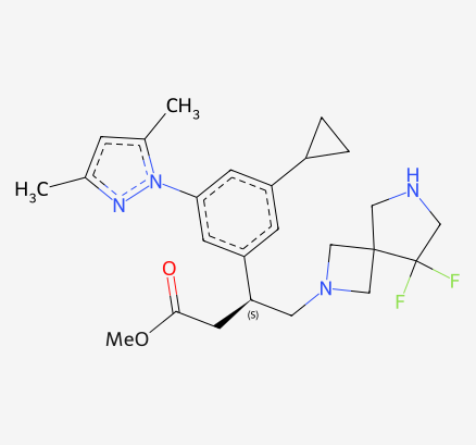 COC(=O)C[C@H](CN1CC2(CNCC2(F)F)C1)c1cc(C2CC2)cc(-n2nc(C)cc2C)c1